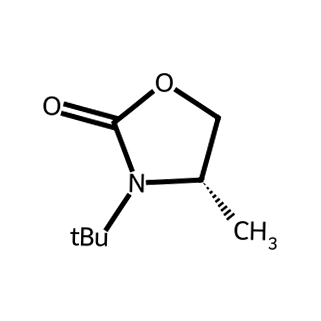 C[C@H]1COC(=O)N1C(C)(C)C